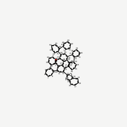 c1ccc(-c2ccccc2-c2cc(-c3nc4ccccc4o3)c3ccc4c(-c5ccccc5-c5ccccc5)cc(-c5ccccc5-c5ccccc5)c5ccc2c3c45)cc1